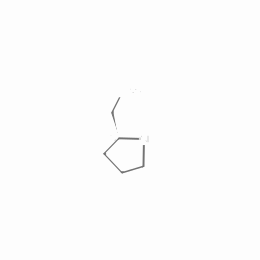 [CH2]OC[C@@H]1CCCN1